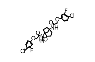 O=C(COc1ccc(Cl)c(F)c1)NC12CCC(O)C(NC(=O)COc3ccc(Cl)c(F)c3)(CC1)C2